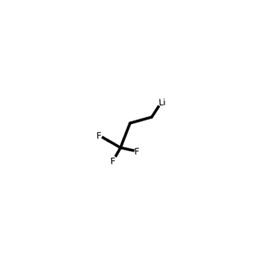 [Li][CH2]CC(F)(F)F